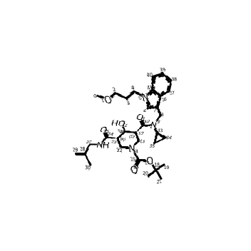 COCCCn1cc(CN(C(=O)[C@H]2CN(C(=O)OC(C)(C)C)C[C@@H](C(=O)NCC(C)C)[C@H]2O)C2CC2)c2ccccc21